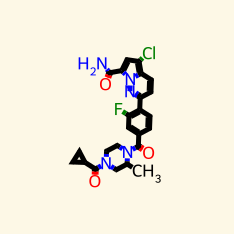 CC1CN(C(=O)C2CC2)CCN1C(=O)c1ccc(-c2ccc3c(Cl)cc(C(N)=O)n3n2)c(F)c1